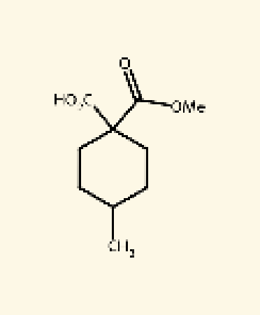 COC(=O)C1(C(=O)O)CCC(C)CC1